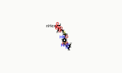 CCCCCCOC(=O)C(C)OC(=O)C(C)OC(=O)CCSC(C)(C)C(=O)Nc1ccc(S(=O)(=O)Nc2nc(C)cc(C)n2)cc1